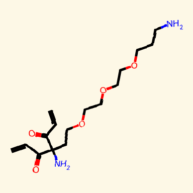 C=CC(=O)C(N)(CCOCCOCCOCCCN)C(=O)C=C